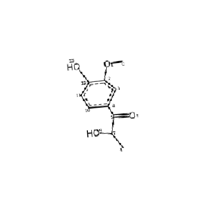 COc1cc(C(=O)C(C)O)ccc1O